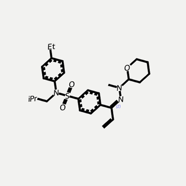 C=C/C(=N/N(C)C1CCCCO1)c1ccc(S(=O)(=O)N(CC(C)C)c2ccc(CC)cc2)cc1